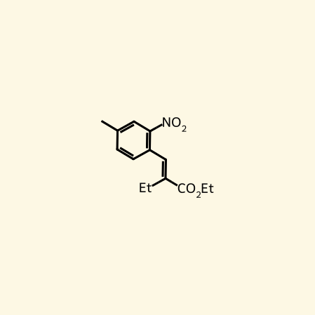 CCOC(=O)/C(=C/c1ccc(C)cc1[N+](=O)[O-])CC